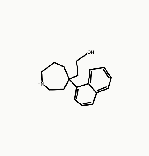 OCCC1(c2cccc3ccccc23)CCCNCC1